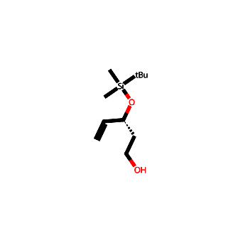 C=C[C@@H](CCO)O[Si](C)(C)C(C)(C)C